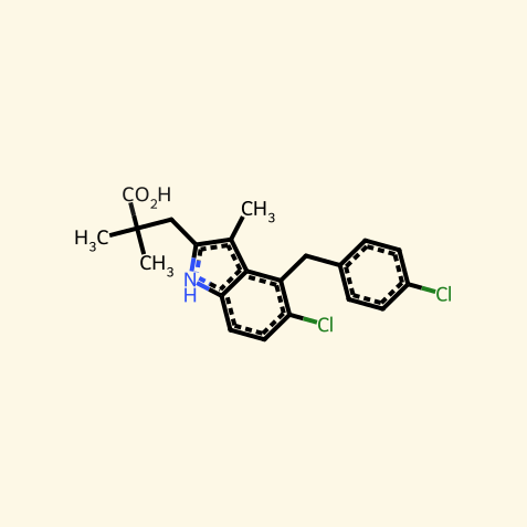 Cc1c(CC(C)(C)C(=O)O)[nH]c2ccc(Cl)c(Cc3ccc(Cl)cc3)c12